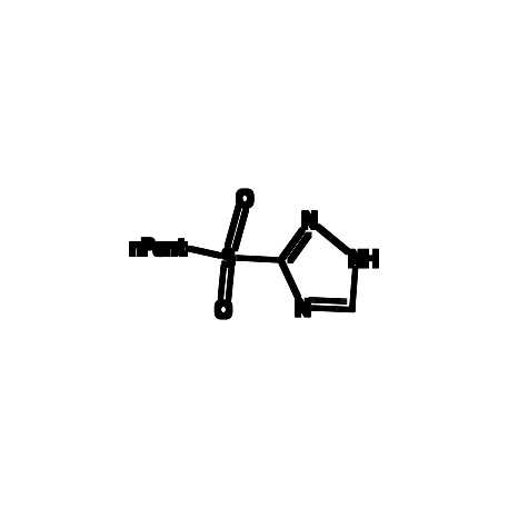 CCCCCS(=O)(=O)c1nc[nH]n1